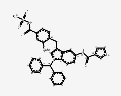 COc1cc(C(=O)NS(=O)(=O)C(F)(F)F)ccc1Cc1cn(C(c2ccccc2)c2ccccc2)c2ccc(NC(=O)c3ccsc3)cc12